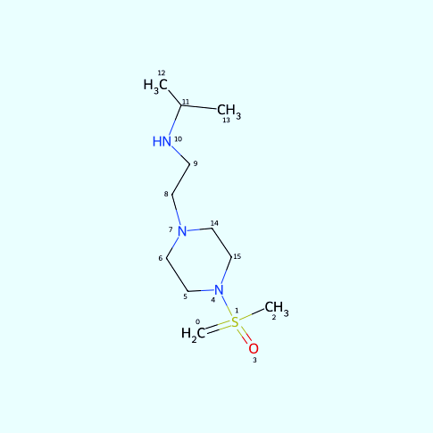 C=S(C)(=O)N1CCN(CCNC(C)C)CC1